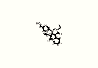 CCOC(=O)c1c(N(C)c2cnc(CO)cn2)c(C#N)c(=O)n2ccccc12